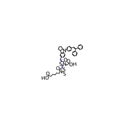 O=C(O)CCCCCN1C(=O)/C(=c2\s/c(=C/c3ccc4c(c3)C3CCCC3N4c3ccc(C=C(c4ccccc4)c4ccccc4)cc3)c(=O)n2CC(=O)O)SC1=S